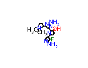 CC(C)N1CCCC(c2cc(-c3nc(-c4ccnc(N)c4F)ccc3O)nc(N)n2)C1